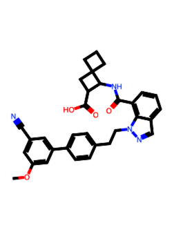 COc1cc(C#N)cc(-c2ccc(CCn3ncc4cccc(C(=O)NC5C(C(=O)O)CC56CCC6)c43)cc2)c1